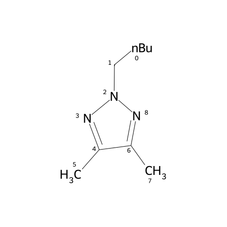 CCCCCn1nc(C)c(C)n1